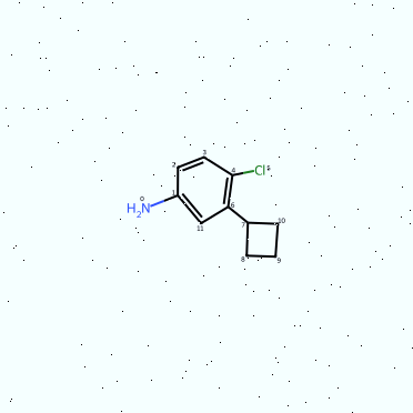 Nc1ccc(Cl)c(C2CCC2)c1